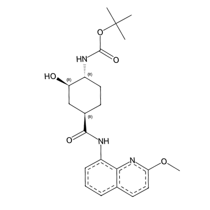 COc1ccc2cccc(NC(=O)[C@@H]3CC[C@@H](NC(=O)OC(C)(C)C)[C@H](O)C3)c2n1